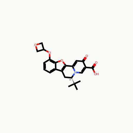 CC(C)(C)[C@@H]1Cc2c(oc3c(OC4COC4)cccc23)-c2cc(=O)c(C(=O)O)cn21